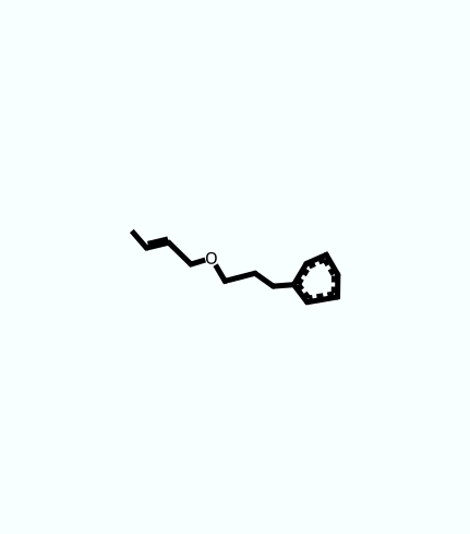 CC=CCOCCCc1ccccc1